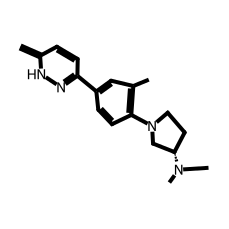 C=C1C=CC(c2ccc(N3CC[C@H](N(C)C)C3)c(C)c2)=NN1